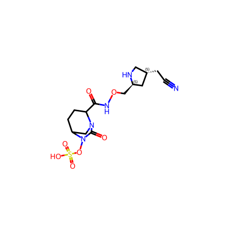 N#CC[C@H]1CN[C@H](CONC(=O)C2CCC3CN2C(=O)N3OS(=O)(=O)O)C1